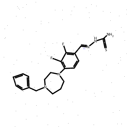 NC(=S)N/N=C/c1ccc(N2CCCN(Cc3ccccc3)CC2)c(F)c1F